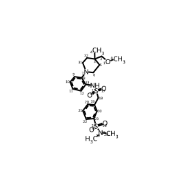 COCC1(C)CCN(c2ccccc2NS(=O)(=O)Cc2cccc(S(=O)(=O)N(C)C)c2)CC1